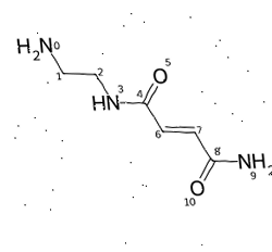 NCCNC(=O)C=CC(N)=O